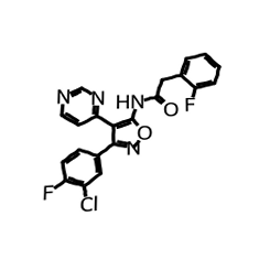 O=C(Cc1ccccc1F)Nc1onc(-c2ccc(F)c(Cl)c2)c1-c1ccncn1